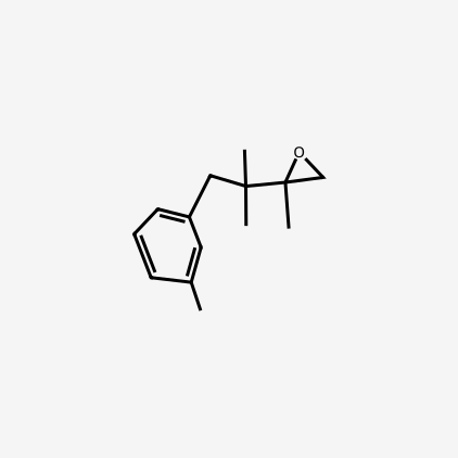 Cc1cccc(CC(C)(C)C2(C)CO2)c1